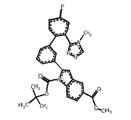 COC(=O)c1ccc2c(c1)cc(-c1cccc(-c3ccc(F)cc3-c3nncn3C)c1)n2C(=O)OC(C)(C)C